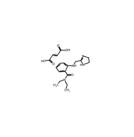 CCN(CC)C(=O)c1ccccc1NCC1=NCCN1.O=C(O)/C=C/C(=O)O